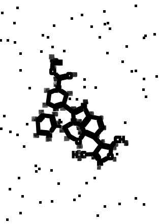 Cc1noc(C)c1-c1ccc2nc(C3=CCCN(C(=O)OC(C)(C)C)C3)n3c2c1OC[C@@H]3c1ccccn1